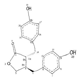 O=C1OC[C@H](Cc2ccc(O)cc2)[C@H]1Cc1ccc(O)cc1